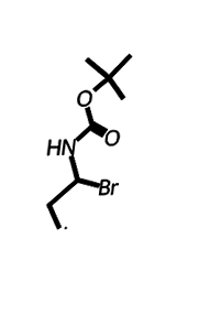 [CH2]CC(Br)NC(=O)OC(C)(C)C